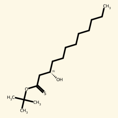 CCCCCCCCC[C@H](O)CC(=S)OC(C)(C)C